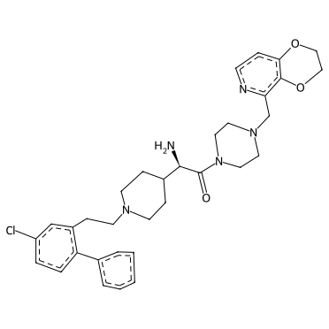 N[C@@H](C(=O)N1CCN(Cc2nccc3c2OCCO3)CC1)C1CCN(CCc2cc(Cl)ccc2-c2ccccc2)CC1